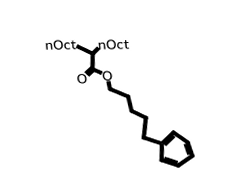 CCCCCCCCC(CCCCCCCC)C(=O)OCCCCCc1ccccc1